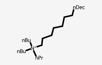 CCCCCCCCCCCCCCCCC[N+](CCC)(CCCC)CCCC